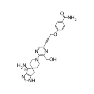 NC(=O)c1ccc(OCC#Cc2cnc(N3CCC4(CC3)Cc3[nH]cnc3[C@H]4N)c(CO)n2)cc1